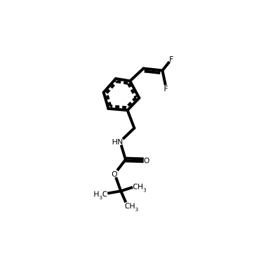 CC(C)(C)OC(=O)NCc1cccc(C=C(F)F)c1